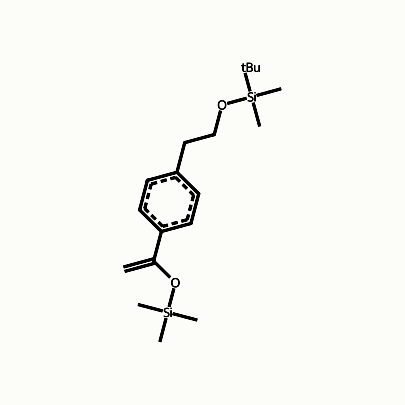 C=C(O[Si](C)(C)C)c1ccc(CCO[Si](C)(C)C(C)(C)C)cc1